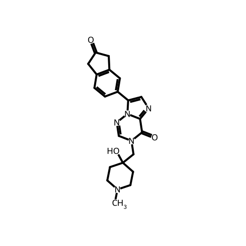 CN1CCC(O)(Cn2cnn3c(-c4ccc5c(c4)CC(=O)C5)cnc3c2=O)CC1